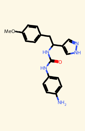 COc1ccc(CC(NC(=O)Nc2ccc(N)cc2)c2cn[nH]c2)cc1